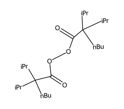 CCCCC(C(=O)OOC(=O)C(CCCC)(C(C)C)C(C)C)(C(C)C)C(C)C